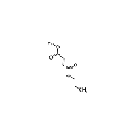 C=CCOC(=O)/C=C/C(=O)OC(C)C